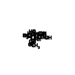 C[C@]12CCC(=O)C=C1C(OS(C)(=O)=O)C[C@@H]1[C@@H]2[C@@H](O)C[C@@]2(C)[C@H]1CC[C@]2(O)C(=O)CO